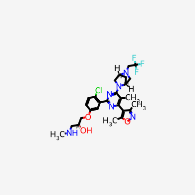 CNC[C@@H](O)COc1ccc(Cl)c(-c2nc(-c3c(C)noc3C)c(C)c(N3C[C@H]4C[C@@H]3CN4CC(F)(F)F)n2)c1